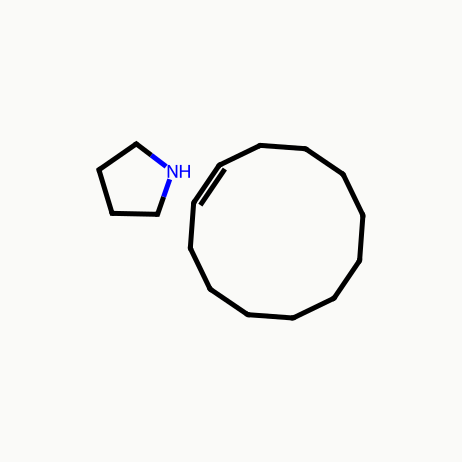 C1=CCCCCCCCCCC1.C1CCNC1